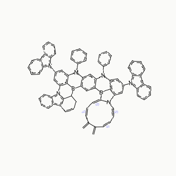 C=C1/C=C\C=C/N2/C(=C\C=C/C1=C)B1c3cc4c(cc3N(c3ccccc3)c3cc(-n5c6ccccc6c6ccccc65)cc2c31)N(c1ccccc1)c1cc(-n2c3ccccc3c3ccccc32)cc2c1B4C1CC=Cc3c1n-2c1ccccc31